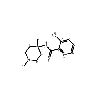 CN1CCC(C)(NC(=O)c2ncccc2C(F)(F)F)CC1